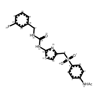 CC(=O)Nc1ccc(S(=O)(=O)Cc2csc(NC(=O)NCc3cccc(F)c3)n2)cc1